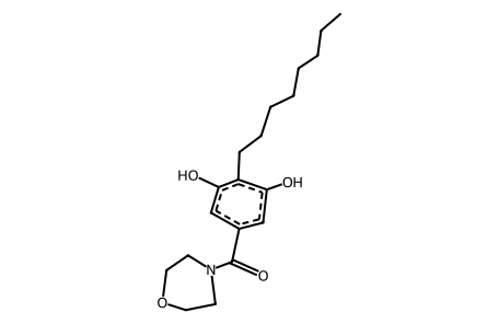 CCCCCCCCc1c(O)cc(C(=O)N2CCOCC2)cc1O